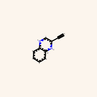 [C]#Cc1cnc2ccccc2n1